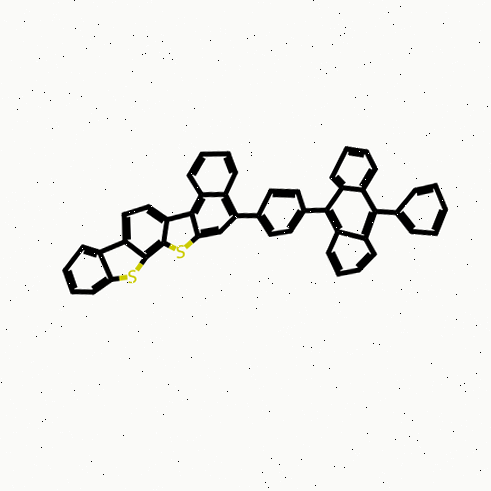 c1ccc(-c2c3ccccc3c(-c3ccc(-c4cc5sc6c(ccc7c8ccccc8sc76)c5c5ccccc45)cc3)c3ccccc23)cc1